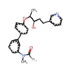 CC(Oc1ccc(-c2cccc(N(C)C(=O)C(F)(F)F)c2)cc1)C(O)CCc1cccnc1